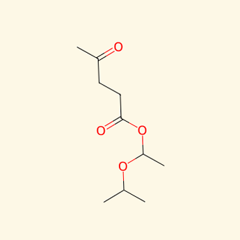 CC(=O)CCC(=O)OC(C)OC(C)C